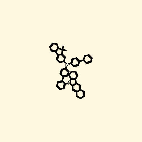 CC1(C)C2=CC(N(c3ccc(-c4ccccc4N4C5=C(C=CCC5)C5C=C6C=CCCC6=CC54)cc3)c3ccc(C4C=CC=CC4)cc3)CC=C2C2=CC=CCC21